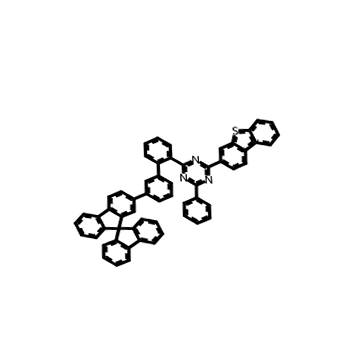 c1ccc(-c2nc(-c3ccc4c(c3)sc3ccccc34)nc(-c3ccccc3-c3cccc(-c4ccc5c(c4)C4(c6ccccc6-c6ccccc64)c4ccccc4-5)c3)n2)cc1